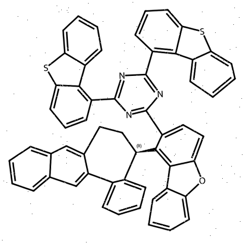 c1ccc2c(c1)-c1cc3ccccc3cc1CC[C@H]2c1c(-c2nc(-c3cccc4sc5ccccc5c34)nc(-c3cccc4sc5ccccc5c34)n2)ccc2oc3ccccc3c12